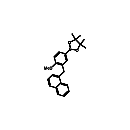 COc1ccc(B2OC(C)(C)C(C)(C)O2)cc1Cc1cccc2ccccc12